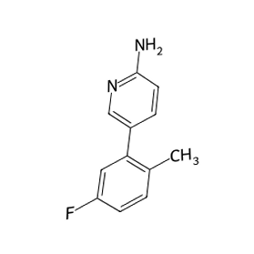 Cc1ccc(F)cc1-c1ccc(N)nc1